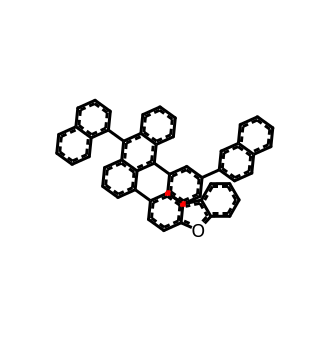 c1cc(-c2ccc3ccccc3c2)cc(-c2c3ccccc3c(-c3cccc4ccccc34)c3cccc(-c4ccc5oc6ccccc6c5c4)c23)c1